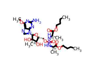 CCCCOC(=O)[C@H](C)NP(=O)(N[C@@H](C)C(=O)OCCCC)OC[C@H]1O[C@@H](n2cnc3c(OC)nc(N)nc32)[C@](C)(O)[C@@H]1O